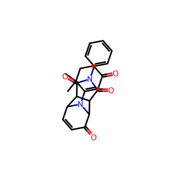 CC1(C)CCC(=O)C=C1N1C2C=CC(=O)C1C1C(=O)N(c3ccccc3)C(=O)C12